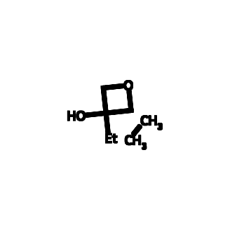 CC.CCC1(O)COC1